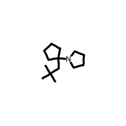 CC(C)(C)CC1(N2CCCC2)CCCC1